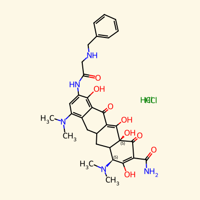 CN(C)c1cc(NC(=O)CNCc2ccccc2)c(O)c2c1CC1CC3[C@H](N(C)C)C(O)=C(C(N)=O)C(=O)[C@@]3(O)C(O)=C1C2=O.Cl.Cl